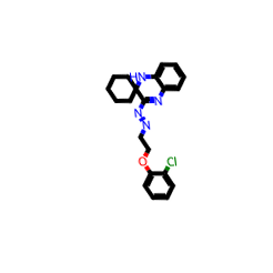 Clc1ccccc1OCCN=NC1=Nc2ccccc2NC12CCCCC2